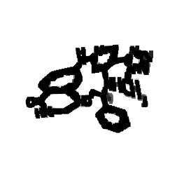 Cn1nnnc1-c1cnc(Nc2ccc3c(c2)CCNC3=O)nc1N[C@H](CO)c1ccccc1